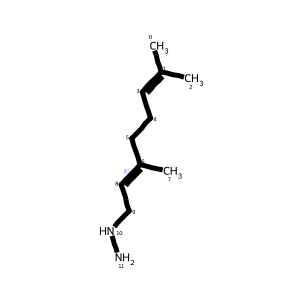 CC(C)=CCC/C(C)=C/CNN